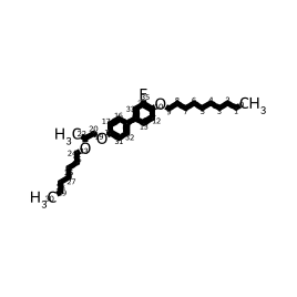 CCCCCCCCCCOc1ccc(-c2ccc(OCC(C)OCCCCCCC)cc2)cc1F